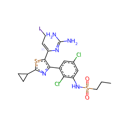 CCCS(=O)(=O)Nc1cc(Cl)cc(-c2nc(C3CC3)sc2/C(=C/CI)N=C(N)N)c1Cl